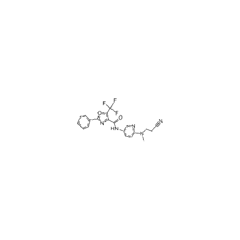 CN(CCC#N)c1ccc(NC(=O)c2nc(-c3ccccc3)oc2C(F)(F)F)cn1